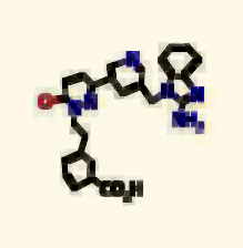 Nc1nc2ccccc2n1Cc1cncc(-c2ccc(=O)n(CCc3cccc(C(=O)O)c3)n2)c1